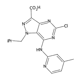 Cc1ccnc(Nc2nc(Cl)nc3c(C(=O)O)nn(CC(C)C)c23)c1